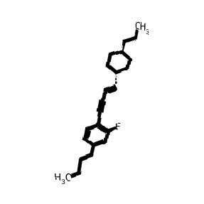 CCCCc1ccc(C#CC=C[C@H]2CC[C@H](CCC)CC2)c(F)c1